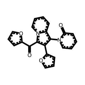 O=C(c1ccco1)c1c(-c2ccco2)c(-n2ccccc2=O)c2ccccn12